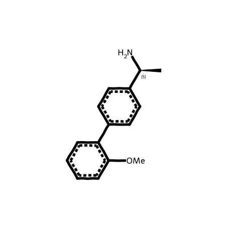 COc1ccccc1-c1ccc([C@H](C)N)cc1